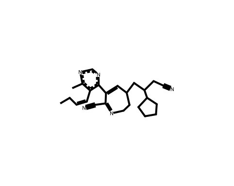 CC/C=C\c1c(C)ncnc1C1=CC(CC(CC#N)C2CCCC2)CCN=C1C#N